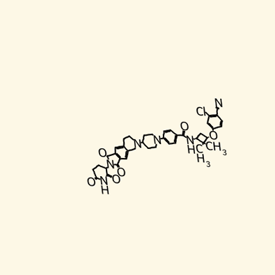 CC1(C)[C@@H](NC(=O)c2ccc(N3CCC(N4CCc5cc6c(cc5C4)C(=O)N(C4CCC(=O)NC4=O)C6=O)CC3)cc2)C[C@@H]1Oc1ccc(C#N)c(Cl)c1